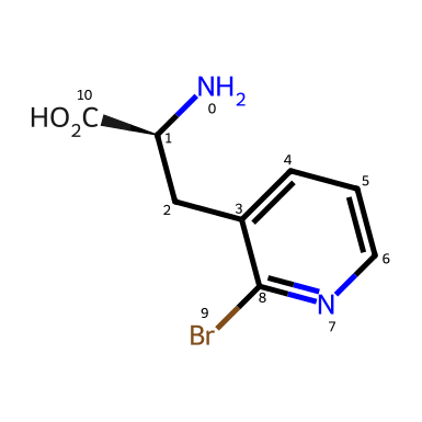 N[C@@H](Cc1cccnc1Br)C(=O)O